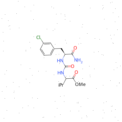 COC(=O)C(NC(=O)N[C@@H](Cc1cccc(Cl)c1)C(N)=O)C(C)C